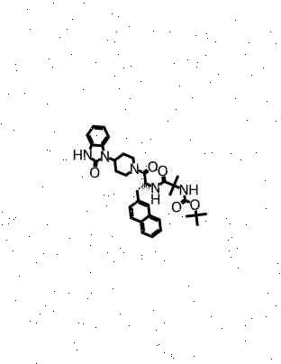 CC(C)(C)OC(=O)NC(C)(C)C(=O)N[C@H](Cc1ccc2ccccc2c1)C(=O)N1CCC(n2c(=O)[nH]c3ccccc32)CC1